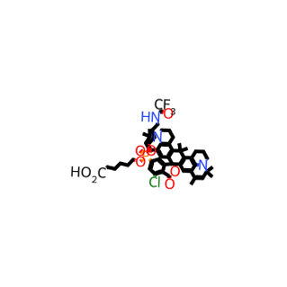 CC1=CC(C)(C)N2CCCc3c2c1cc1c3C(C)(C)c2c(cc3c4c2CCCN4C(C)(C)C=C3C)C12OC(=O)c1c(Cl)cc(P(=O)(OCCCCCC(=O)O)OCCCCNC(=O)C(F)(F)F)cc12